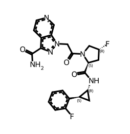 NC(=O)c1nn(CC(=O)N2C[C@H](F)C[C@H]2C(=O)N[C@@H]2C[C@H]2c2ccccc2F)c2cnccc12